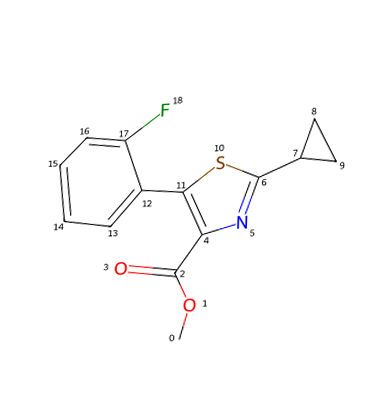 COC(=O)c1nc(C2CC2)sc1-c1ccccc1F